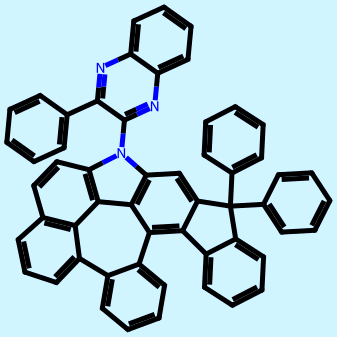 c1ccc(-c2nc3ccccc3nc2-n2c3cc4c(c5c3c3c6c(cccc6ccc32)-c2ccccc2-5)-c2ccccc2C4(c2ccccc2)c2ccccc2)cc1